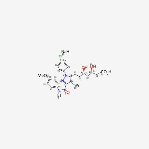 CCN(C(=O)c1nn(-c2ccc(F)cc2)c(CC[C@@H](O)C[C@@H](O)CC(=O)O)c1C(C)C)c1ccc(OC)cc1.[NaH]